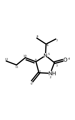 C=c1[nH]c(=O)n(C(C)C)/c1=C/CC